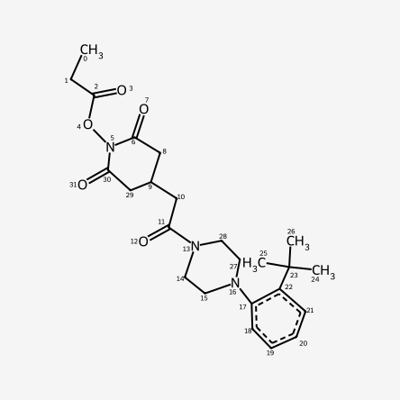 CCC(=O)ON1C(=O)CC(CC(=O)N2CCN(c3ccccc3C(C)(C)C)CC2)CC1=O